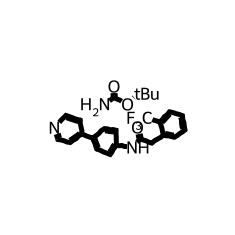 CC(C)(C)OC(N)=O.O=C(Cc1ccccc1C(F)(F)F)Nc1ccc(-c2ccncc2)cc1